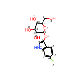 OC[C@H]1O[C@@H](Oc2c[nH]c3cc(F)ccc23)[C@H](O)[C@@H](O)[C@@H]1O